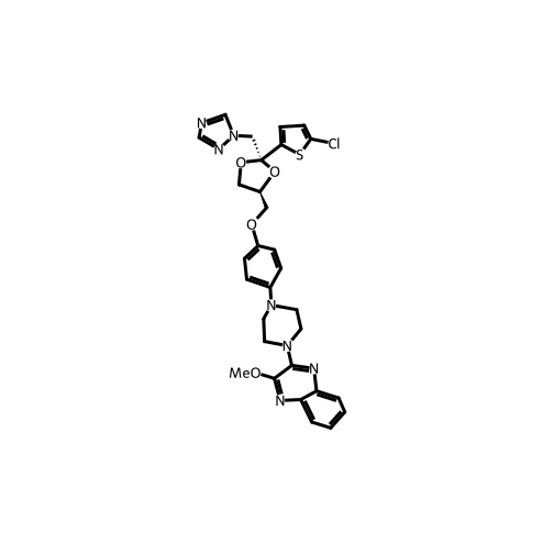 COc1nc2ccccc2nc1N1CCN(c2ccc(OC[C@H]3CO[C@@](Cn4cncn4)(c4ccc(Cl)s4)O3)cc2)CC1